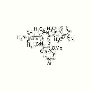 COC1(c2cc3c(N[C@H](C)c4cccc(C#N)c4C)nc(C)c(C#CC(C)(C)N)c3n(C)c2=O)CCN(C(C)=O)CC1